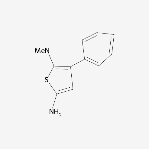 CNc1sc(N)cc1-c1ccccc1